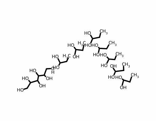 CCC(O)O.CCC(O)O.CCC(O)O.CCC(O)O.CCC(O)O.CCC(O)O.CCC(O)O.OCC(O)C(O)C(O)C(O)CO